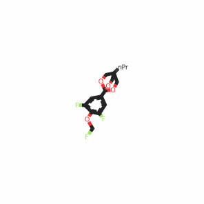 CCCC12COC(c3cc(F)c(OCF)c(F)c3)(OC1)OC2